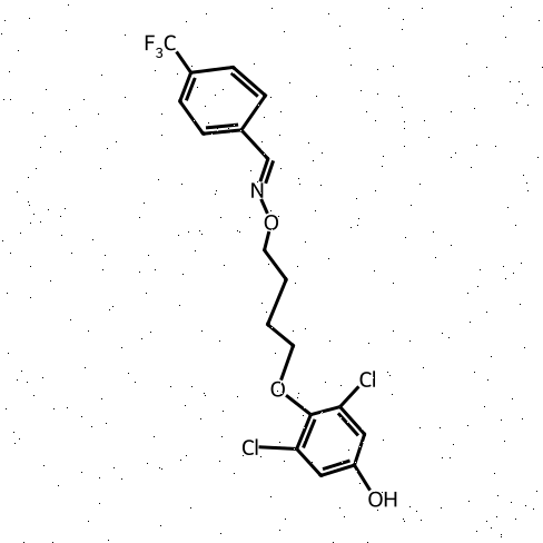 Oc1cc(Cl)c(OCCCCON=Cc2ccc(C(F)(F)F)cc2)c(Cl)c1